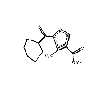 COC(=O)c1csc(C(=O)C2CCCCC2)c1C